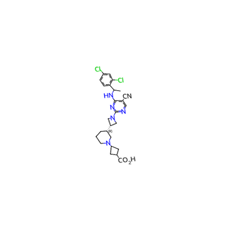 CC(Nc1nc(N2CC([C@H]3CCCN(C4CC(C(=O)O)C4)C3)C2)ncc1C#N)c1ccc(Cl)cc1Cl